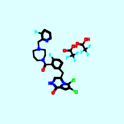 O=C(O)C(F)(F)F.O=C(O)C(F)(F)F.O=C(c1cc(Cc2c[nH]c(=O)c3cc(Cl)c(Cl)n23)ccc1F)N1CCCN(Cc2ncccc2F)CC1